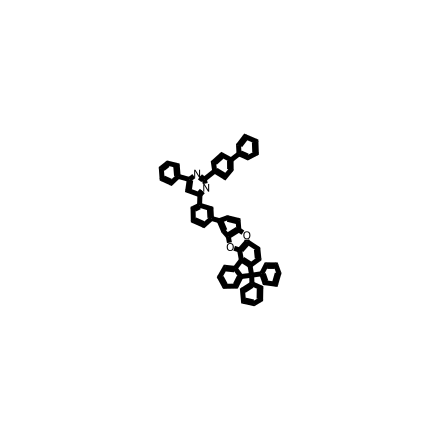 c1ccc(-c2ccc(-c3nc(-c4ccccc4)cc(-c4cccc(-c5ccc6c(c5)Oc5c(ccc7c5-c5ccccc5C7(c5ccccc5)c5ccccc5)O6)c4)n3)cc2)cc1